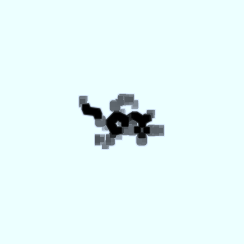 B[C@@H]1O[C@H](CC(F)P(=O)(O)O)[C@@H](OC)[C@H]1OCCF